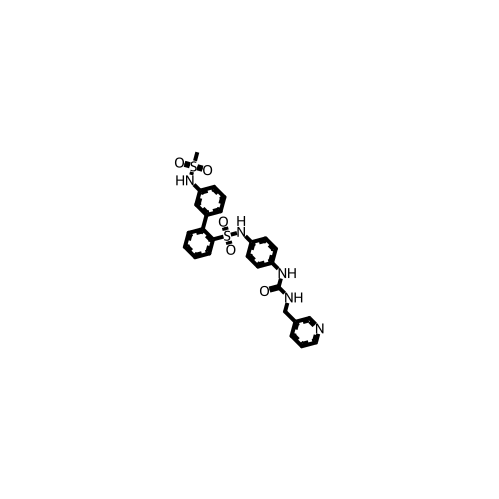 CS(=O)(=O)Nc1cccc(-c2ccccc2S(=O)(=O)Nc2ccc(NC(=O)NCc3cccnc3)cc2)c1